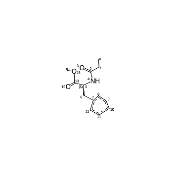 CCC(=O)N[C@@H](Cc1ccccc1)C(=O)OC